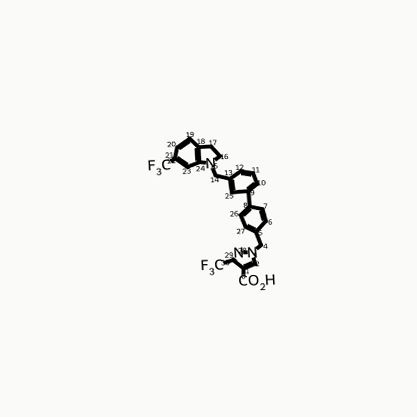 O=C(O)c1cn(Cc2ccc(-c3cccc(CN4CCc5ccc(C(F)(F)F)cc54)c3)cc2)nc1C(F)(F)F